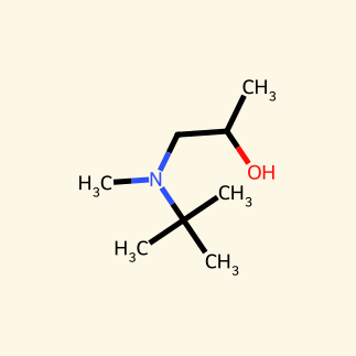 CC(O)CN(C)C(C)(C)C